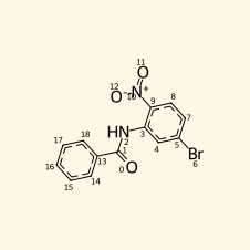 O=C(Nc1cc(Br)ccc1[N+](=O)[O-])c1ccccc1